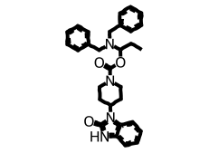 CCC(OC(=O)N1CCC(n2c(=O)[nH]c3ccccc32)CC1)N(Cc1ccccc1)Cc1ccccc1